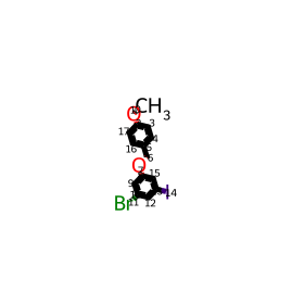 COc1ccc(COc2cc(Br)cc(I)c2)cc1